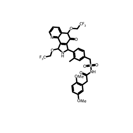 COc1ccc(OC)c(CC(=O)NS(=O)(=O)Cc2ccc(C3NC(OCC(F)(F)F)C4=C3C(=O)C(OCC(F)(F)F)c3cccnc34)c(C)c2)c1